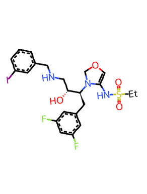 CCS(=O)(=O)NC1=COCN1[C@@H](Cc1cc(F)cc(F)c1)[C@H](O)CNCc1cccc(I)c1